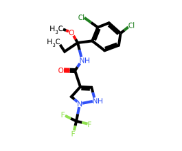 CCC(NC(=O)C1=CNN(C(F)(F)F)C1)(OC)c1ccc(Cl)cc1Cl